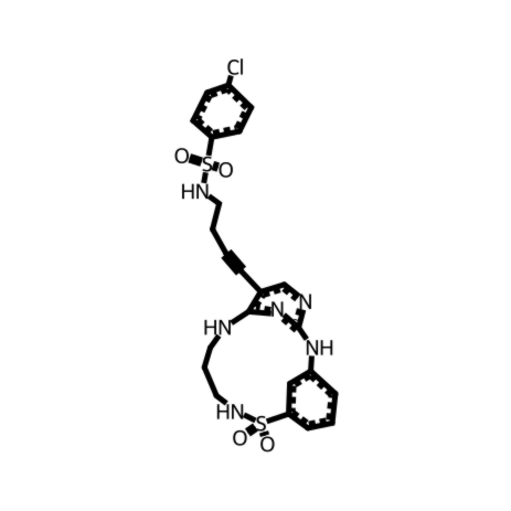 O=S(=O)(NCCC#Cc1cnc2nc1NCCCNS(=O)(=O)c1cccc(c1)N2)c1ccc(Cl)cc1